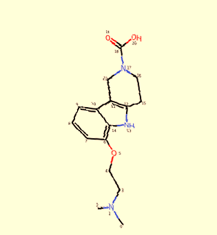 CN(C)CCOc1cccc2c3c([nH]c12)CCN(C(=O)O)C3